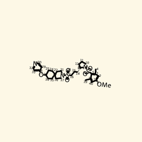 COc1cc(C)c(S(=O)(=O)N2CCC[C@H]2CCCS(=O)(=O)N2CCC3(CCC(Oc4ccncc4)CC3)CC2)c(C)c1